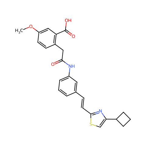 COc1ccc(CC(=O)Nc2cccc(C=Cc3nc(C4CCC4)cs3)c2)c(C(=O)O)c1